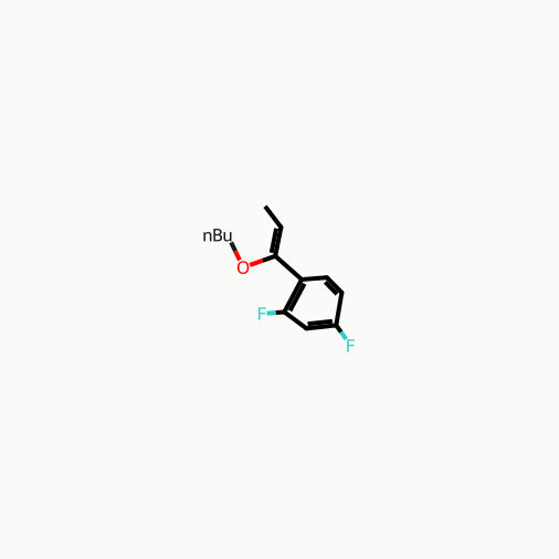 [CH2]CCCOC(=CC)c1ccc(F)cc1F